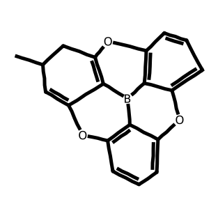 CC1C=C2Oc3cccc4c3B3C2=C(C1)Oc1cccc(c13)O4